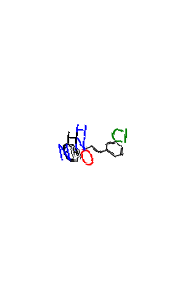 O=C(C=Cc1cccc(Cl)c1)N[C@H]1CN2CCC1CC2